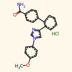 COc1ccc(-n2cnc(-c3ccccc3-c3ccc(C(N)=O)cc3)c2)cc1.Cl